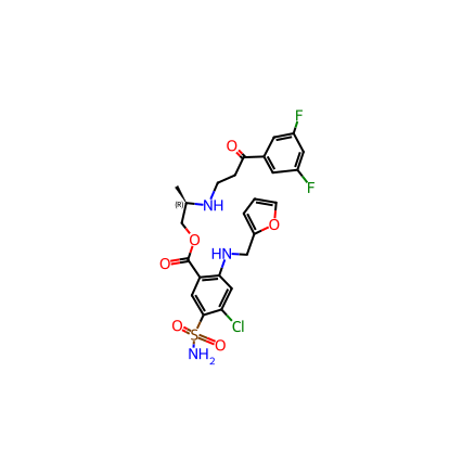 C[C@H](COC(=O)c1cc(S(N)(=O)=O)c(Cl)cc1NCc1ccco1)NCCC(=O)c1cc(F)cc(F)c1